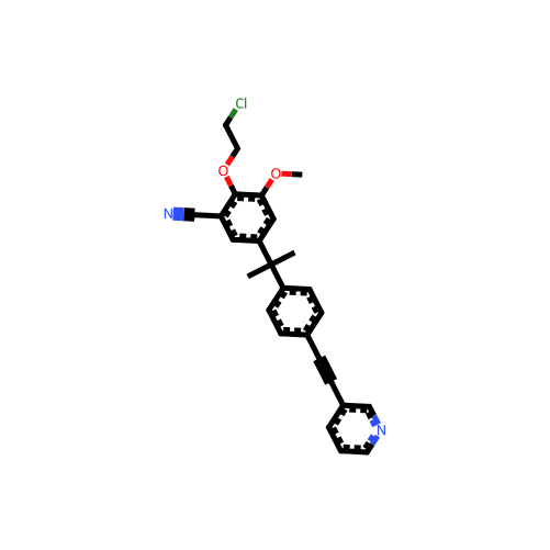 COc1cc(C(C)(C)c2ccc(C#Cc3cccnc3)cc2)cc(C#N)c1OCCCl